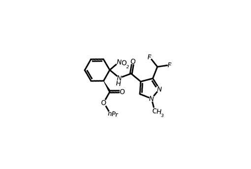 CCCOC(=O)[C@H]1C=CC=CC1(NC(=O)c1cn(C)nc1C(F)F)[N+](=O)[O-]